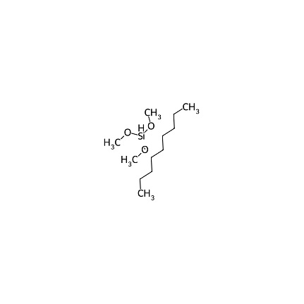 CCCCCCCCC.CO[SiH](OC)OC